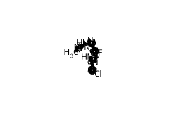 Cn1cc(-c2nc3c(-c4ccc(Cn5nc(-c6cccc(Cl)c6)oc5=N)c(F)c4)ccnc3[nH]2)cn1